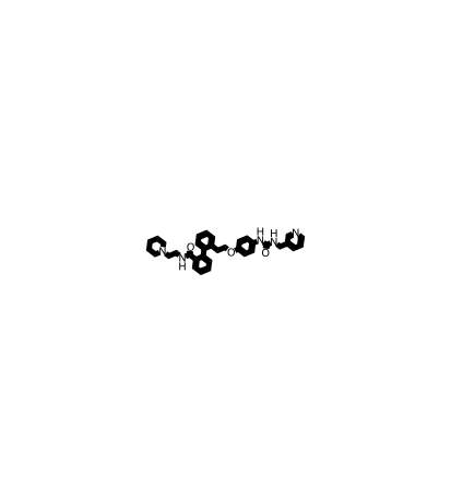 O=C(NCc1cccnc1)Nc1ccc(OCCc2ccccc2-c2ccccc2C(=O)NCCN2CCCCC2)cc1